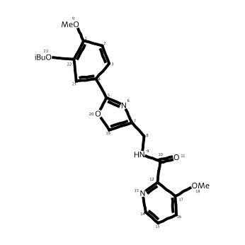 COc1ccc(-c2nc(CNC(=O)c3ncccc3OC)co2)cc1OCC(C)C